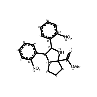 COC(=O)C12CCCN1C(c1ccccc1[N+](=O)[O-])C(c1ccccc1[N+](=O)[O-])N2